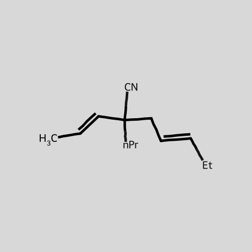 CC=CC(C#N)(CC=CCC)CCC